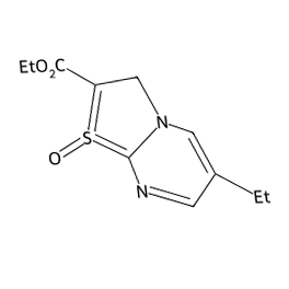 CCOC(=O)C1=S(=O)=C2N=CC(CC)=CN2C1